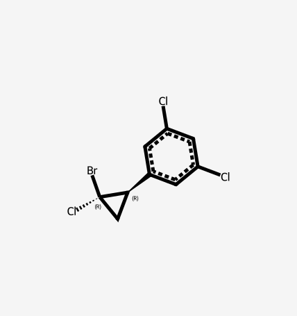 Clc1cc(Cl)cc([C@H]2C[C@@]2(Cl)Br)c1